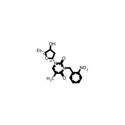 CC[C@H]1O[C@@H](n2cc(C)c(=O)n(Cc3ccccc3[N+](=O)[O-])c2=O)CC1O